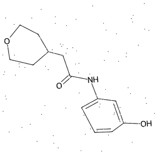 O=C(CC1CCOCC1)Nc1cccc(O)c1